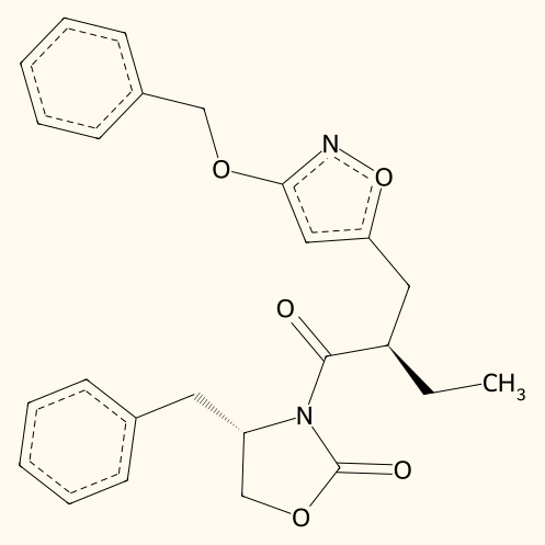 CC[C@H](Cc1cc(OCc2ccccc2)no1)C(=O)N1C(=O)OC[C@@H]1Cc1ccccc1